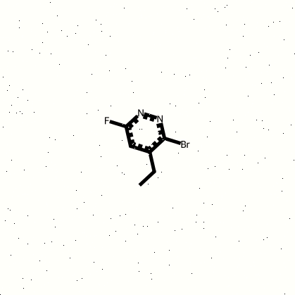 CCc1cc(F)nnc1Br